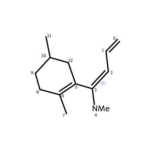 C=C/C=C(/NC)C1=C(C)CCC(C)C1